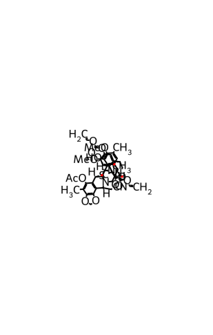 C=COC(=O)Oc1cc2c(cc1OC)[C@@]1(CS[C@@H]3c4c(OC(C)=O)c(C)c5c(c4[C@H](COC1=O)N1C3[C@@H]3c4c(cc(C)c(OC)c4O)C[C@@H]([C@@H]1C#N)N3C)OCO5)N(C(=O)OC=C)CC2